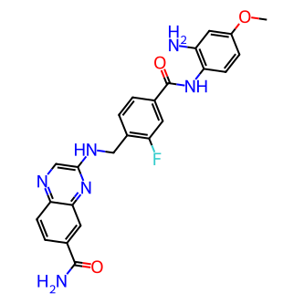 COc1ccc(NC(=O)c2ccc(CNc3cnc4ccc(C(N)=O)cc4n3)c(F)c2)c(N)c1